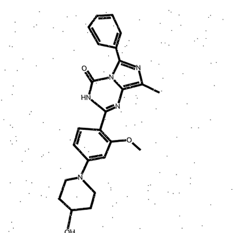 COc1cc(N2CCC(O)CC2)ccc1-c1nc2c(C)nc(-c3ccccc3)n2c(=O)[nH]1